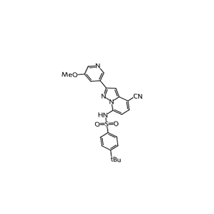 COc1cncc(-c2cc3c(C#N)ccc(NS(=O)(=O)c4ccc(C(C)(C)C)cc4)n3n2)c1